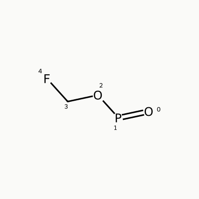 O=POCF